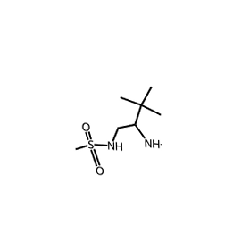 CC(C)(C)C([NH])CNS(C)(=O)=O